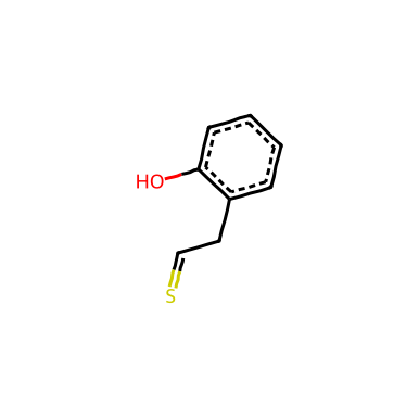 Oc1ccccc1CC=S